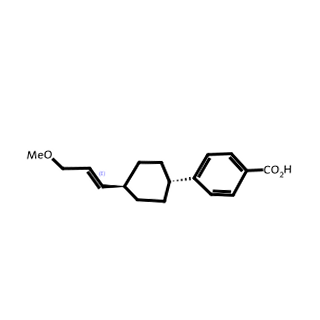 COC/C=C/[C@H]1CC[C@H](c2ccc(C(=O)O)cc2)CC1